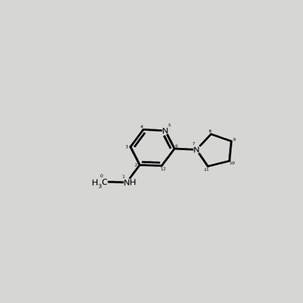 CNc1ccnc(N2CCCC2)c1